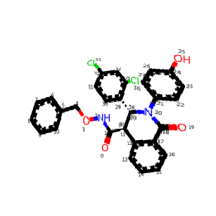 O=C(NOCc1ccccc1)[C@@H]1c2ccccc2C(=O)N(c2ccc(O)cc2)[C@H]1c1ccc(Cl)cc1Cl